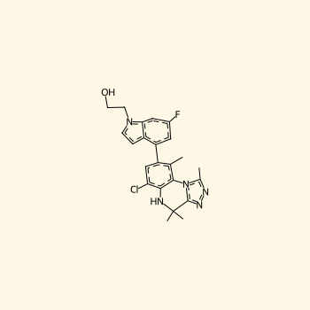 Cc1c(-c2cc(F)cc3c2ccn3CCO)cc(Cl)c2c1-n1c(C)nnc1C(C)(C)N2